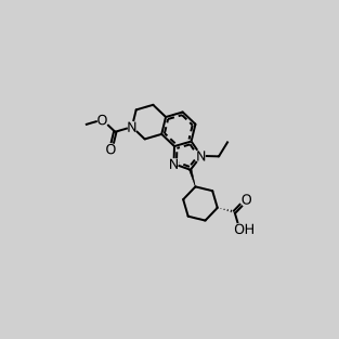 CCn1c([C@@H]2CCC[C@@H](C(=O)O)C2)nc2c3c(ccc21)CCN(C(=O)OC)C3